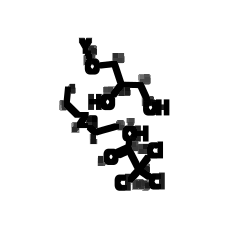 C[CH2][Zn][CH2]C.O=C(O)C(Cl)(Cl)Cl.OCC(O)C[O][Y]